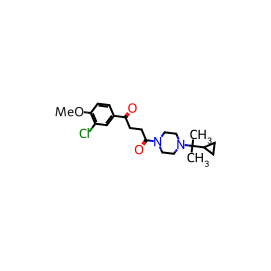 COc1ccc(C(=O)CCC(=O)N2CCN(C(C)(C)C3CC3)CC2)cc1Cl